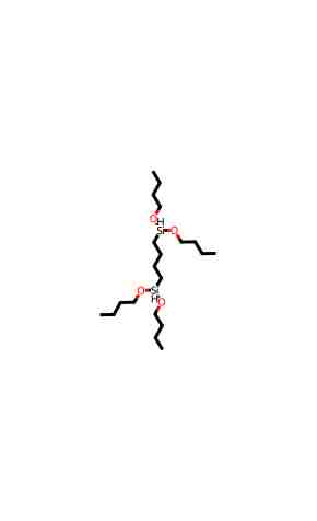 CCCCO[SiH](CCCC[SiH](OCCCC)OCCCC)OCCCC